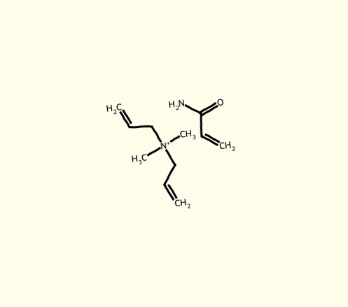 C=CC(N)=O.C=CC[N+](C)(C)CC=C